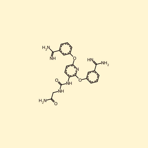 N=C(N)c1cccc(Oc2ccc(NC(=O)NCC(N)=O)c(Oc3cccc(C(=N)N)c3)n2)c1